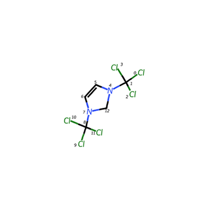 ClC(Cl)(Cl)N1C=CN(C(Cl)(Cl)Cl)C1